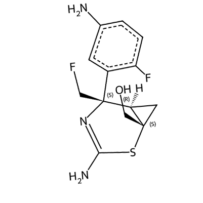 NC1=N[C@](CF)(c2cc(N)ccc2F)[C@H]2C[C@]2(CO)S1